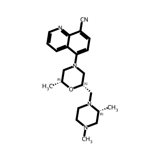 C[C@@H]1CN(c2ccc(C#N)c3ncccc23)C[C@H](CN2CCN(C)C[C@H]2C)O1